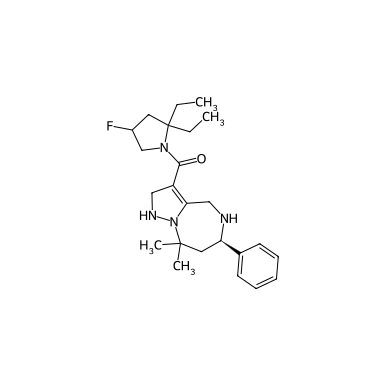 CCC1(CC)CC(F)CN1C(=O)C1=C2CN[C@@H](c3ccccc3)CC(C)(C)N2NC1